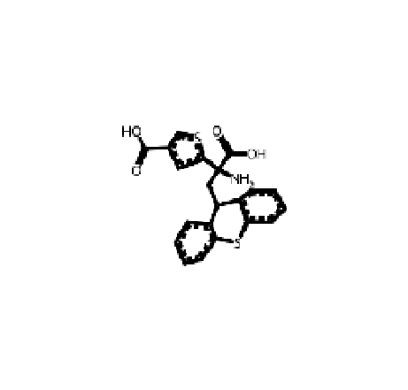 NC(CC1c2ccccc2Sc2ccccc21)(C(=O)O)c1cc(C(=O)O)cs1